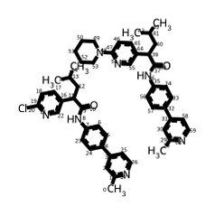 Cc1cc(-c2ccc(NC(=O)C(CC(C)C)c3ccc(Cl)nc3)cc2)ccn1.Cc1cc(-c2ccc(NC(=O)C(CC(C)C)c3ccc(N4CCCCC4)nc3)cc2)ccn1